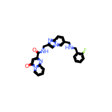 O=C(NCc1cn2cc(CNCc3ccccc3F)ccc2n1)c1cc(=O)n2ccccc2n1